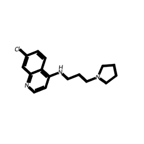 Clc1ccc2c(NCCCN3CCCC3)ccnc2c1